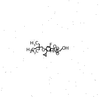 C=CCC(CC)(CC)COc1cc(F)c(C(=O)NS(=O)(=O)CCO)cc1C1CC1